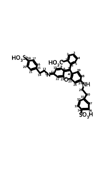 O=C(O)c1ccccc1-c1c2cc/c(=N\CCc3ccc(S(=O)(=O)O)cc3)cc-2oc2cc(NCCc3ccc(S(=O)(=O)O)cc3)ccc12